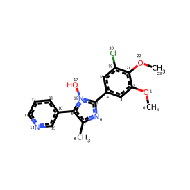 COc1cc(-c2nc(C)c(-c3cccnc3)n2O)cc(Cl)c1OC